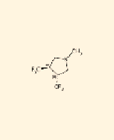 CN1C[C@H](C(F)(F)F)[C@@H](C(F)(F)F)C1